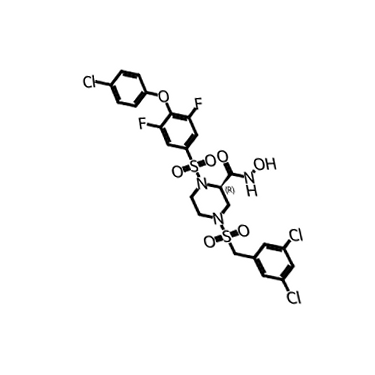 O=C(NO)[C@H]1CN(S(=O)(=O)Cc2cc(Cl)cc(Cl)c2)CCN1S(=O)(=O)c1cc(F)c(Oc2ccc(Cl)cc2)c(F)c1